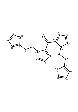 O=C(c1nccn1CCc1cccs1)c1nccn1CCc1cccs1